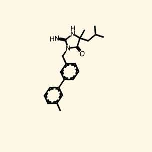 Cc1cccc(-c2cccc(CN3C(=N)NC(C)(CC(C)C)C3=O)c2)c1